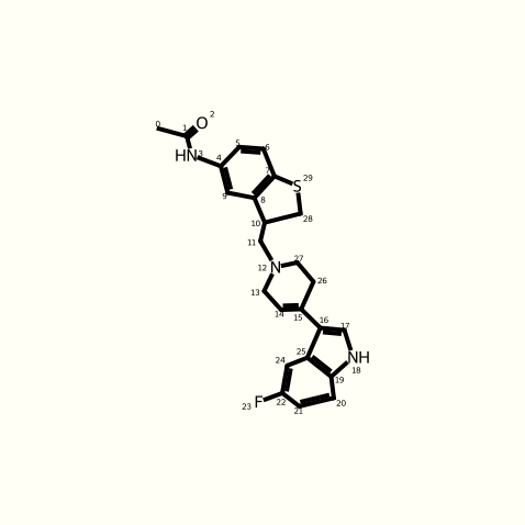 CC(=O)Nc1ccc2c(c1)C(CN1CC=C(c3c[nH]c4ccc(F)cc34)CC1)CS2